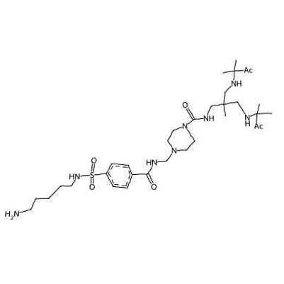 CC(=O)C(C)(C)NCC(C)(CNC(=O)N1CCN(CNC(=O)c2ccc(S(=O)(=O)NCCCCCN)cc2)CC1)CNC(C)(C)C(C)=O